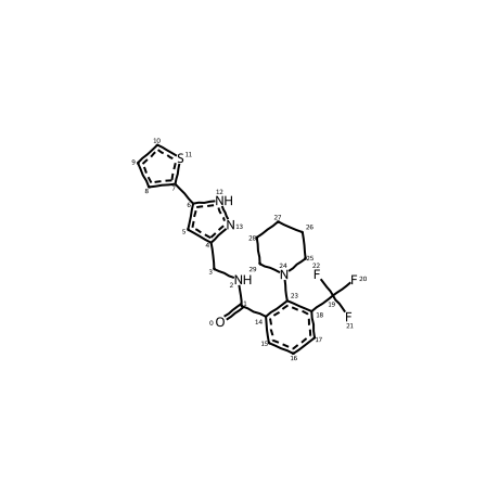 O=C(NCc1cc(-c2cccs2)[nH]n1)c1cccc(C(F)(F)F)c1N1CCCCC1